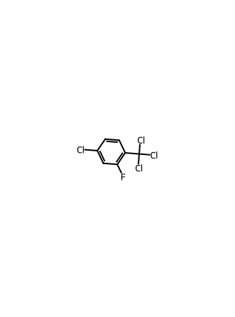 Fc1cc(Cl)ccc1C(Cl)(Cl)Cl